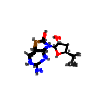 CCC(OC(C)=O)[C@@H]1C[C@@H](O)[C@H](n2c(=O)sc3cnc(N)nc32)O1